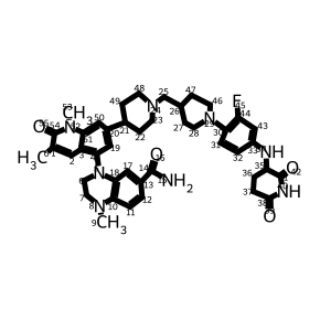 Cc1cc2c(N3CCN(C)c4ccc(C(N)=O)cc43)cc(C3CCN(CC4CCN(c5ccc(NC6CCC(=O)NC6=O)cc5F)CC4)CC3)cc2n(C)c1=O